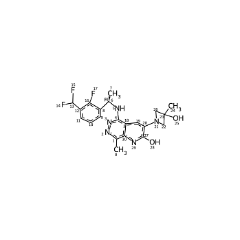 Cc1nnc(N[C@H](C)c2cccc(C(F)F)c2F)c2cc(N3CC(C)(O)C3)c(O)nc12